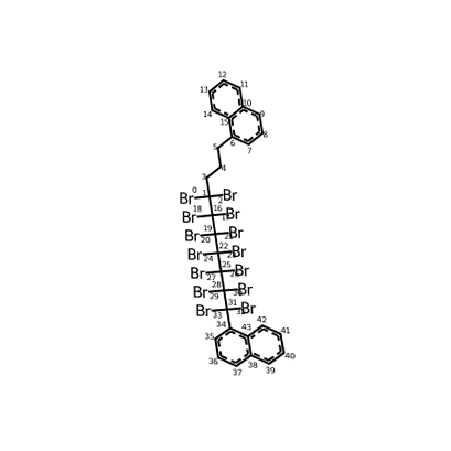 BrC(Br)(CCCc1cccc2ccccc12)C(Br)(Br)C(Br)(Br)C(Br)(Br)C(Br)(Br)C(Br)(Br)C(Br)(Br)c1cccc2ccccc12